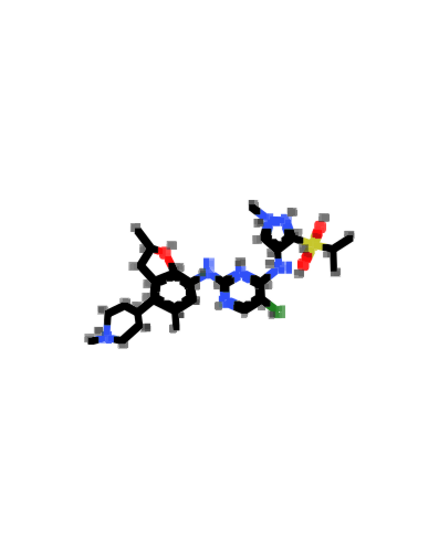 Cc1cc(Nc2ncc(Cl)c(Nc3cn(C)nc3S(=O)(=O)C(C)C)n2)c2c(c1C1CCN(C)CC1)CC(C)O2